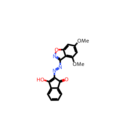 COc1cc(OC)c2c(N=NC3=C(O)c4ccccc4C3=O)noc2c1